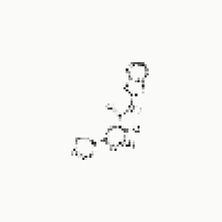 O=C(NC1Cc2ccccc2C1)c1cc(-c2ccncc2)n[nH]c1=O